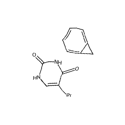 CC(C)c1c[nH]c(=O)[nH]c1=O.c1ccc2c(c1)C2